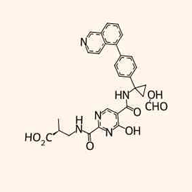 C[C@@H](CNC(=O)c1ncc(C(=O)NC2(c3ccc(-c4cccc5cnccc45)cc3)CC2)c(O)n1)C(=O)O.O=CO